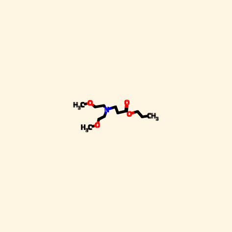 CCCOC(=O)CCN(CCOC)CCOC